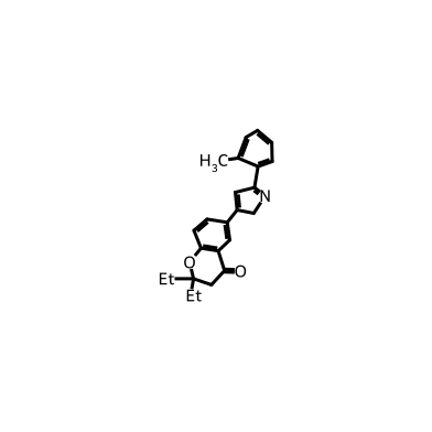 CCC1(CC)CC(=O)c2cc(C3=CC(c4ccccc4C)=NC3)ccc2O1